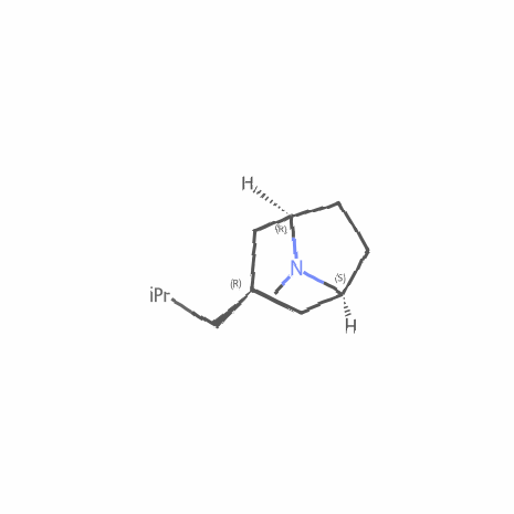 CC(C)C[C@H]1C[C@H]2CC[C@@H](C1)N2C